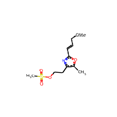 COC/C=C/c1nc(CCOS(C)(=O)=O)c(C)o1